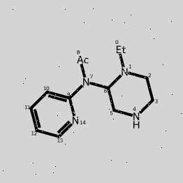 CCN1CCNCC1N(C(C)=O)c1ccccn1